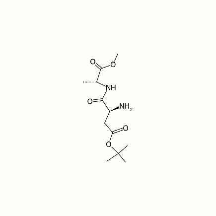 COC(=O)[C@@H](C)NC(=O)[C@@H](N)CC(=O)OC(C)(C)C